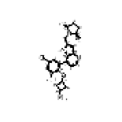 Cc1cc(Cl)cc(-c2ccnc3cc(CN4C(=O)CCC4=O)sc23)c1OC1CC(N)C1